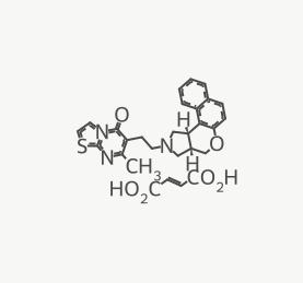 Cc1nc2sccn2c(=O)c1CCN1C[C@H]2COc3ccc4ccccc4c3[C@H]2C1.O=C(O)/C=C/C(=O)O